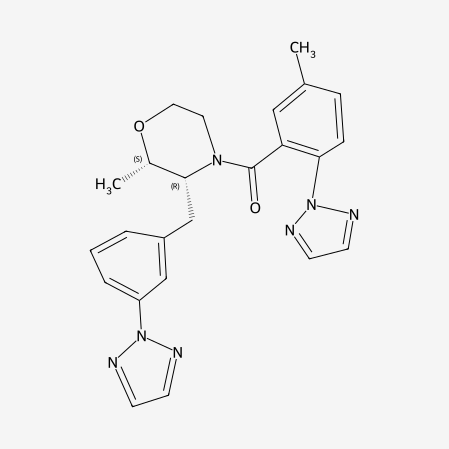 Cc1ccc(-n2nccn2)c(C(=O)N2CCO[C@@H](C)[C@H]2Cc2cccc(-n3nccn3)c2)c1